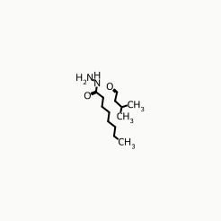 CC(C)CC=O.CCCCCCCC(=O)NN